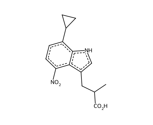 CC(Cc1c[nH]c2c(C3CC3)ccc([N+](=O)[O-])c12)C(=O)O